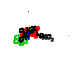 CC1=C(C(=O)OCC(=O)c2ccc([N+](=O)[O-])cc2)N2C(=O)C(NC(=O)C(C(=O)Oc3c(Cl)c(Cl)c(Cl)c(Cl)c3Cl)c3ccccc3)[C@@H]2SC1